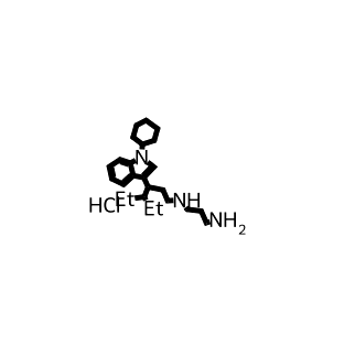 CCC(CC)C(CCNCCCN)c1cn(C2CCCCC2)c2ccccc12.Cl